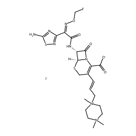 C[N+]1(C)CC[N+](C)(C/C=C/C2=C(C(=O)[O-])N3C(=O)[C@@H](NC(=O)/C(=N\OCF)c4nsc(N)n4)[C@@H]3SC2)CC1.[I-]